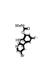 CNC(=O)Oc1cc(F)cc2c1[nH]c1ncc(Br)cc12